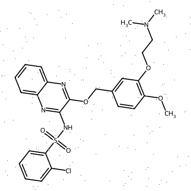 COc1ccc(COc2nc3ccccc3nc2NS(=O)(=O)c2ccccc2Cl)cc1OCCN(C)C